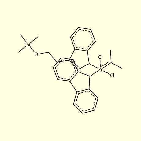 C[C](C)=[Zr]([Cl])([Cl])([CH]1C=C(CCO[Si](C)(C)C)c2ccccc21)[CH]1c2ccccc2-c2ccccc21